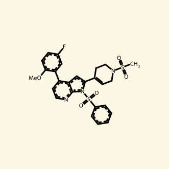 COc1ccc(F)cc1-c1ccnc2c1cc(C1=CCN(S(C)(=O)=O)CC1)n2S(=O)(=O)c1ccccc1